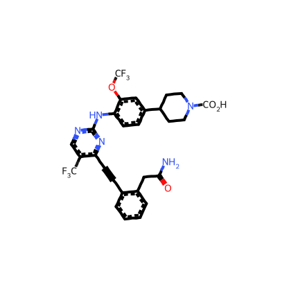 NC(=O)Cc1ccccc1C#Cc1nc(Nc2ccc(C3CCN(C(=O)O)CC3)cc2OC(F)(F)F)ncc1C(F)(F)F